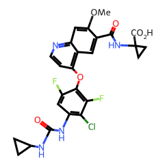 COc1cc2nccc(Oc3c(F)cc(NC(=O)NC4CC4)c(Cl)c3F)c2cc1C(=O)NC1(C(=O)O)CC1